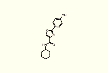 O=C(NC1CCCCC1)c1coc(-c2ccc(O)cc2)n1